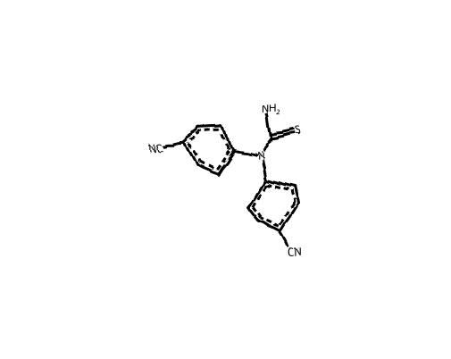 N#Cc1ccc(N(C(N)=S)c2ccc(C#N)cc2)cc1